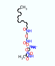 CC/C=C\C/C=C\C/C=C\C/C=C\C/C=C\C/C=C\CCC(=O)NCCOCCNC(=O)OC[C@H]1O[C@H](n2cc(C)c(=O)[nH]c2=O)C[C@@H]1N=[N+]=[N-]